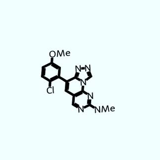 CNc1ncc2cc(-c3cc(OC)ccc3Cl)c3nncn3c2n1